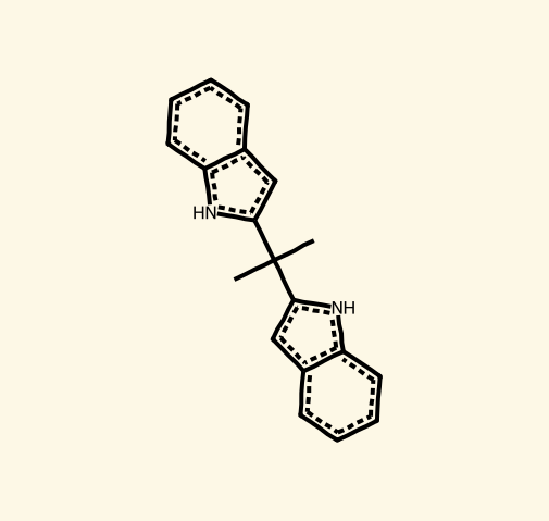 CC(C)(c1cc2ccccc2[nH]1)c1cc2ccccc2[nH]1